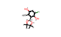 CCCc1c(O)cc(F)c(O)c1B1OC(C)(C)C(C)(C)O1